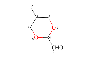 CC1COC(C=O)OC1